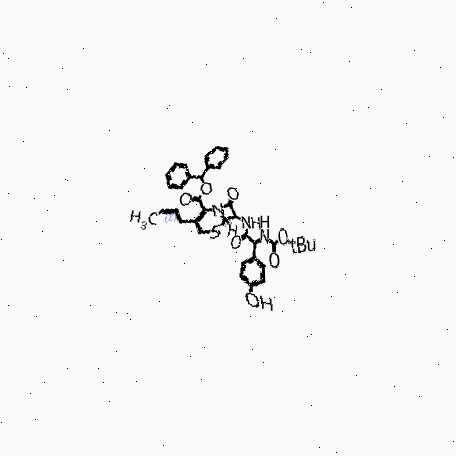 C/C=C\CC1=C(C(=O)OC(c2ccccc2)c2ccccc2)N2C(=O)C(NC(=O)C(NC(=O)OC(C)(C)C)c3ccc(O)cc3)[C@@H]2SC1